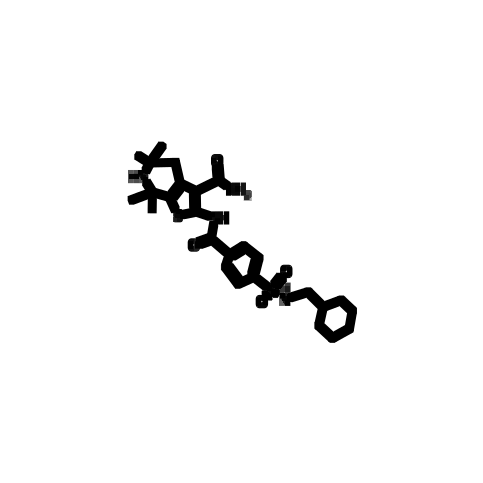 CC1(C)Cc2c(sc(NC(=O)c3ccc(S(=O)(=O)NCC4CCCCC4)cc3)c2C(N)=O)C(C)(C)N1